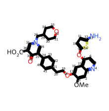 COc1cc2nccc(Oc3ccc(N)s3)c2cc1OCCc1ccc(-c2cn(CC3CCOCC3)cc(C(=O)O)c2=O)cc1